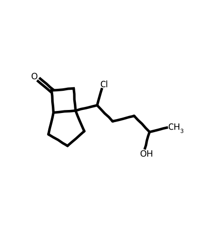 CC(O)CCC(Cl)C12CCCC1C(=O)C2